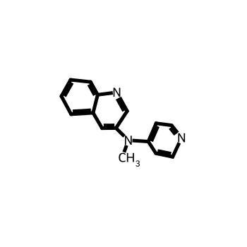 CN(c1ccncc1)c1cnc2ccccc2c1